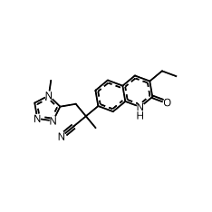 CCc1cc2ccc(C(C)(C#N)Cc3nncn3C)cc2[nH]c1=O